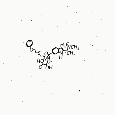 CC(c1cc2ccc(-c3nnc(CSCCOc4ccccc4)o3)cc2[nH]1)N(C)C.O=C(O)C(=O)O